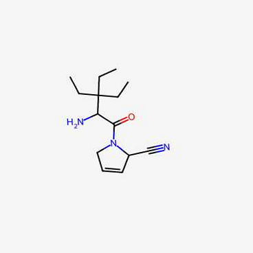 CCC(CC)(CC)C(N)C(=O)N1CC=CC1C#N